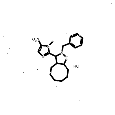 Cl.Cn1c([N+](=O)[O-])cnc1C1C2CCCCCCC2ON1Cc1ccccc1